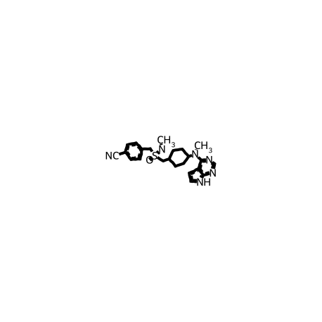 CN=S(=O)(Cc1ccc(C#N)cc1)CC1CCC(N(C)c2ncnc3[nH]ccc23)CC1